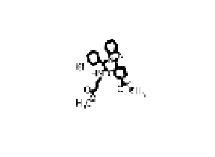 COC(=O)CCCNC(=O)C(C1CCCCC1)n1c(-c2ccc(C(=O)OC)cc2)nc2ccccc21.[Cl-].[H+]